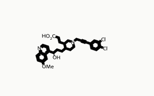 COc1ccc2nccc([C@@H](O)CCC3CCN(CC#Cc4ccc(Cl)c(Cl)c4)CC3CCC(=O)O)c2c1